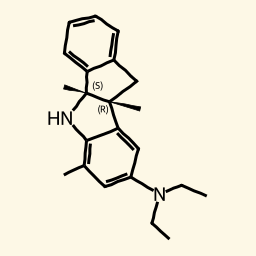 CCN(CC)c1cc(C)c2c(c1)[C@@]1(C)Cc3ccccc3[C@@]1(C)N2